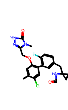 Cc1cc(OCc2n[nH]c(=O)n2C)c(-c2cc(CC3(NC=O)CC3)ccc2F)cc1Cl